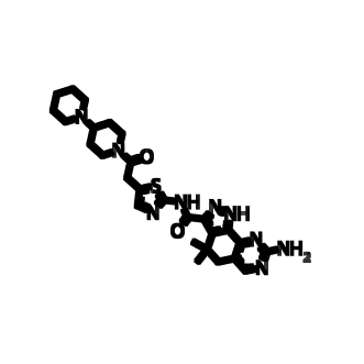 CC1(C)Cc2cnc(N)nc2-c2[nH]nc(C(=O)Nc3ncc(CC(=O)N4CCC(N5CCCCC5)CC4)s3)c21